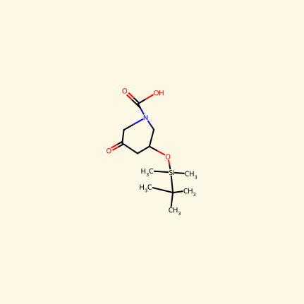 CC(C)(C)[Si](C)(C)OC1CC(=O)CN(C(=O)O)C1